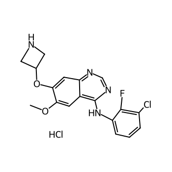 COc1cc2c(Nc3cccc(Cl)c3F)ncnc2cc1OC1CNC1.Cl